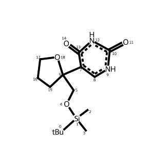 CC(C)(C)[Si](C)(C)OCC1(c2c[nH]c(=O)[nH]c2=O)CCCO1